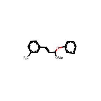 COC(C=Cc1cccc(C(F)(F)F)c1)Oc1cc[c]cc1